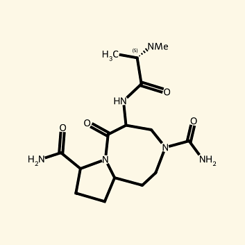 CN[C@@H](C)C(=O)NC1CN(C(N)=O)CCC2CCC(C(N)=O)N2C1=O